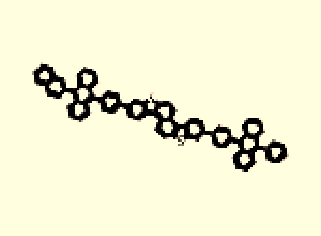 c1ccc(-c2c3ccccc3c(-c3ccc(-c4ccc5c(c4)sc4ccc6c(ccc7sc8cc(-c9ccc(-c%10c%11ccccc%11c(-c%11ccc%12ccccc%12c%11)c%11ccccc%10%11)cc9)ccc8c76)c45)cc3)c3ccccc23)cc1